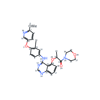 COc1ccc(Oc2ccc(Nc3ncnc4cccc(OC(C)C(=O)N5CCOCC5)c34)cc2C)cn1